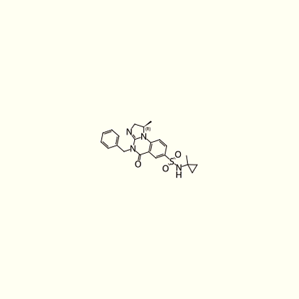 C[C@@H]1CN=C2N(Cc3ccccc3)C(=O)c3cc(S(=O)(=O)NC4(C)CC4)ccc3N21